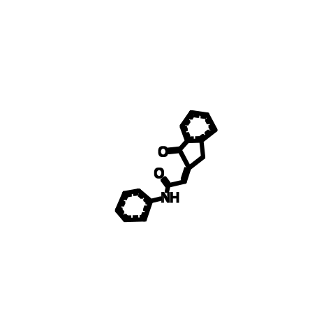 O=C(C=C1Cc2ccccc2C1=O)Nc1ccccc1